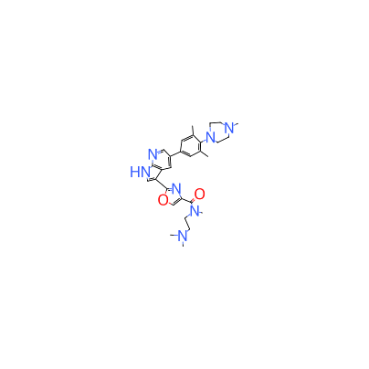 Cc1cc(-c2cnc3[nH]cc(-c4nc(C(=O)N(C)CCN(C)C)co4)c3c2)cc(C)c1N1CCN(C)CC1